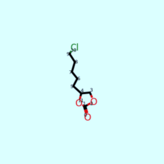 O=C1OCC(CCCCCCl)O1